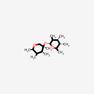 CC1O[C@H](O[C@]2(C)CO[C@H](C)C(C)[C@H]2C)C(C)[C@H](C)[C@@H]1C